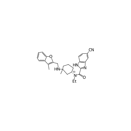 CCN(C(=O)c1nc2cc(C#N)ccc2[nH]1)[C@H]1CCCC(C)(NCc2oc3ccccc3c2C)C1